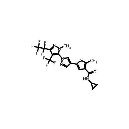 Cc1sc(-c2cnn(-c3c(C(F)(F)F)c(C(F)(F)C(F)(F)F)nn3C)c2)cc1C(=O)NC1CC1